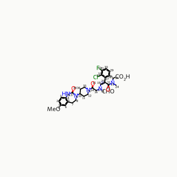 COc1ccc2c(c1)CCN(C1CCN(C(=O)CN(C=O)/C=C(\C(=O)N(C)CC(=O)O)c3cccc(F)c3Cl)CC1)C(=O)N2